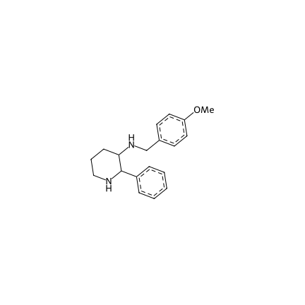 COc1ccc(CNC2CCCNC2c2ccccc2)cc1